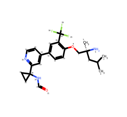 CC(C)C[C@](C)(N)COc1ccc(-c2ccnc(C3(NC=O)CC3)c2)cc1C(F)(F)F